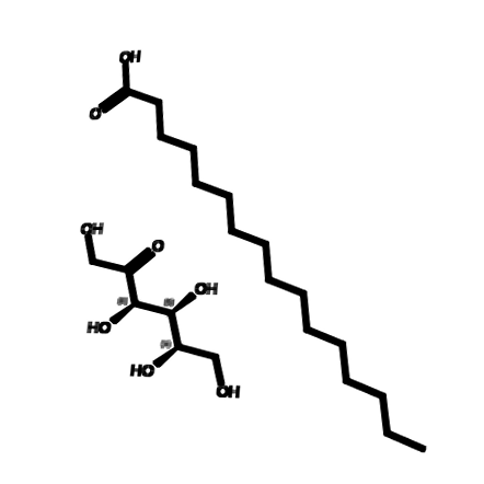 CCCCCCCCCCCCCCCC(=O)O.O=C(CO)[C@H](O)[C@@H](O)[C@H](O)CO